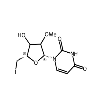 COC1C(O)[C@@H](CI)O[C@H]1n1ccc(=O)[nH]c1=O